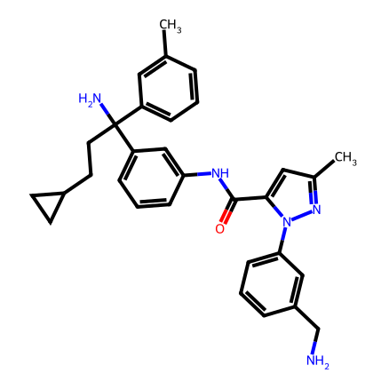 Cc1cccc(C(N)(CCC2CC2)c2cccc(NC(=O)c3cc(C)nn3-c3cccc(CN)c3)c2)c1